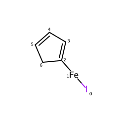 [I][Fe][C]1=CC=CC1